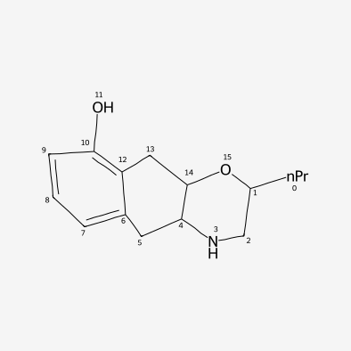 CCCC1CNC2Cc3cccc(O)c3CC2O1